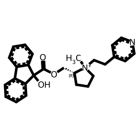 C[N+]1(CCc2ccncc2)CCC[C@@H]1COC(=O)C1(O)c2ccccc2-c2ccccc21